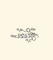 CC1=C(/C=C/C(C)=C/C=C/C(C)=C/C=O)C(C)(C)CCC1.NCCc1ccc(O)c(O)c1